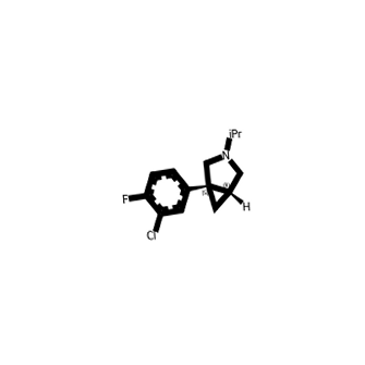 CC(C)N1C[C@@H]2C[C@]2(c2ccc(F)c(Cl)c2)C1